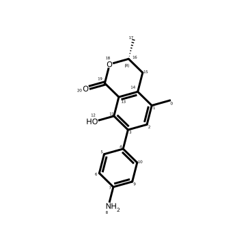 Cc1cc(-c2ccc(N)cc2)c(O)c2c1C[C@@H](C)OC2=O